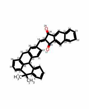 CC1(C)c2ccccc2C2c3ccc(C=C4C(=O)c5cc6ccccc6cc5C4=O)cc3Cc3cccc1c32